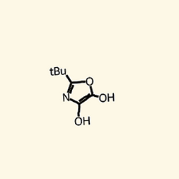 CC(C)(C)c1nc(O)c(O)o1